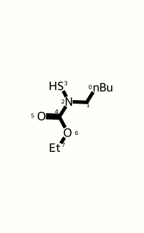 CCCCCN(S)C(=O)OCC